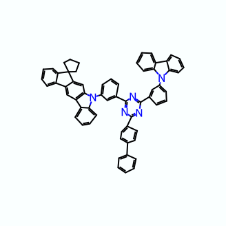 c1ccc(-c2ccc(-c3nc(-c4cccc(-n5c6ccccc6c6ccccc65)c4)nc(-c4cccc(-n5c6ccccc6c6cc7c(cc65)C5(CCCC5)c5ccccc5-7)c4)n3)cc2)cc1